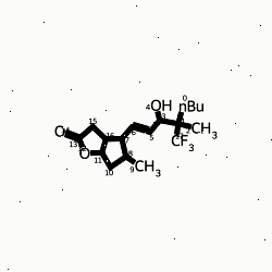 CCCCC(C)(C(O)/C=C/C1C(C)CC2OC(=O)CC21)C(F)(F)F